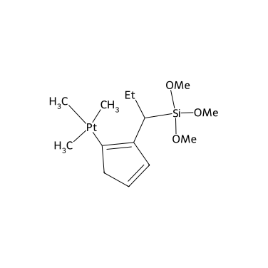 CCC(C1=[C]([Pt]([CH3])([CH3])[CH3])CC=C1)[Si](OC)(OC)OC